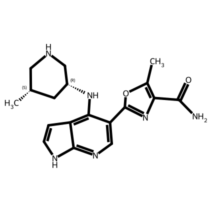 Cc1oc(-c2cnc3[nH]ccc3c2N[C@H]2CNC[C@@H](C)C2)nc1C(N)=O